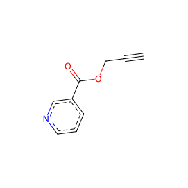 C#CCOC(=O)c1cccnc1